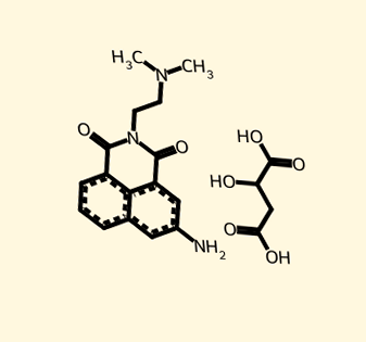 CN(C)CCN1C(=O)c2cccc3cc(N)cc(c23)C1=O.O=C(O)CC(O)C(=O)O